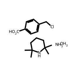 CC1(C)CCCC(C)(C)N1.N.O.O=C(O)c1ccc(CCl)cc1